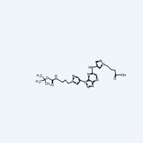 CC(C)(C)OC(=O)NCCCn1cc(-n2nnc3ncc(Nc4cnn(CCCC(=O)O)c4)nc32)cn1